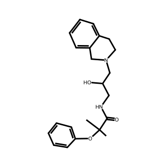 CC(C)(Oc1ccccc1)C(=O)NCC(O)CN1CCc2ccccc2C1